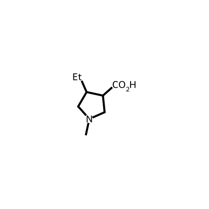 CCC1CN(C)CC1C(=O)O